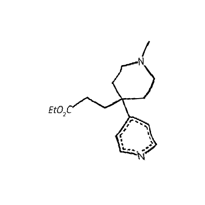 CCOC(=O)CCC1(c2ccncc2)CCN(C)CC1